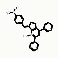 CN(C)c1ccc(/C=C2\CCc3c(-c4ccccc4)cc(-c4ccccc4)[n+](C)c32)cc1